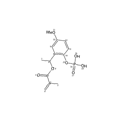 C=C(C)C(=O)OC(C)c1cc(OC)ccc1OP(=O)(O)O